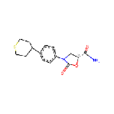 NC(=O)[C@H]1CN(c2ccc(C3CCSCC3)cc2)C(=O)O1